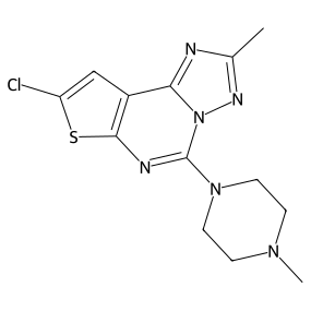 Cc1nc2c3cc(Cl)sc3nc(N3CCN(C)CC3)n2n1